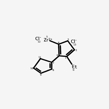 CCC1=CC[C]([Zr+2])=C1C1=CC=CC1.[Cl-].[Cl-]